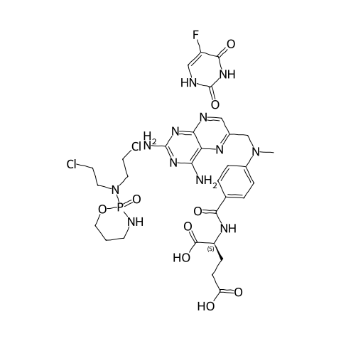 CN(Cc1cnc2nc(N)nc(N)c2n1)c1ccc(C(=O)N[C@@H](CCC(=O)O)C(=O)O)cc1.O=P1(N(CCCl)CCCl)NCCCO1.O=c1[nH]cc(F)c(=O)[nH]1